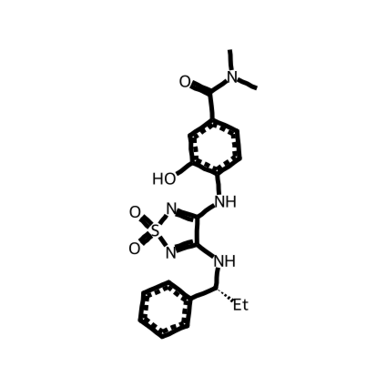 CC[C@@H](NC1=NS(=O)(=O)N=C1Nc1ccc(C(=O)N(C)C)cc1O)c1ccccc1